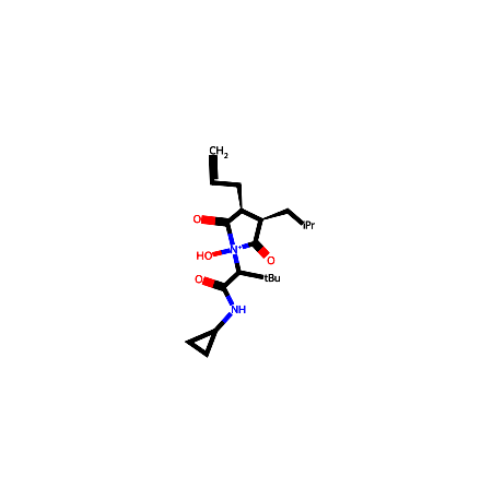 C=CC[C@@H]1C(=O)[N+](O)(C(C(=O)NC2CC2)C(C)(C)C)C(=O)[C@@H]1CC(C)C